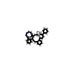 C=C1CC2/C3=C/C=C\C=C(/NC3)c3ccccc3C2CCc2ccccc2-c2ccc(-c3ccccc3)c[n+]21